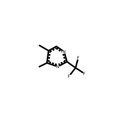 [CH2]c1cnc(C(F)(F)F)nc1C